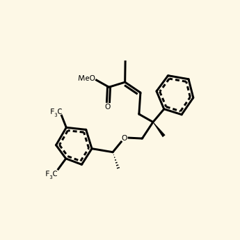 COC(=O)/C(C)=C\C[C@@](C)(CO[C@H](C)c1cc(C(F)(F)F)cc(C(F)(F)F)c1)c1ccccc1